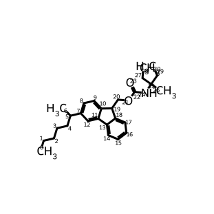 CCCCCC(C)c1ccc2c(c1)-c1ccccc1C2COC(=O)NC(C)(CC)CC